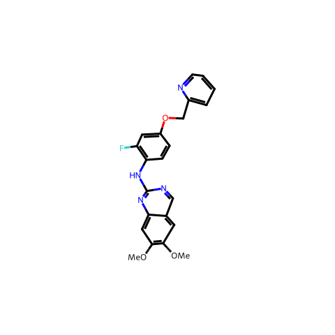 COc1cc2cnc(Nc3ccc(OCc4ccccn4)cc3F)nc2cc1OC